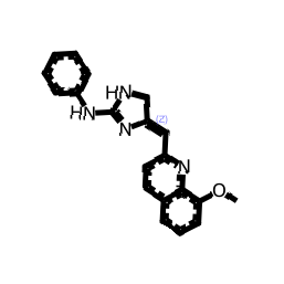 COc1cccc2ccc(/C=C3/CNC(Nc4ccccc4)=N3)nc12